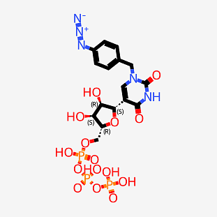 [N-]=[N+]=Nc1ccc(Cn2cc([C@@H]3O[C@H](COP(=O)(O)OP(=O)(O)OP(=O)(O)O)[C@@H](O)[C@H]3O)c(=O)[nH]c2=O)cc1